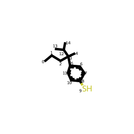 CCCC(C)(c1ccc(S)cc1)C(C)C